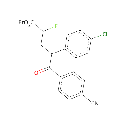 CCOC(=O)C(F)CC(C(=O)c1ccc(C#N)cc1)c1ccc(Cl)cc1